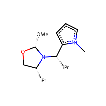 CO[C@H]1OC[C@@H](C(C)C)N1[C@H](c1cccn1C)C(C)C